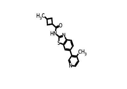 Cc1ccncc1-c1ccc2nc(NC(=O)C3CC(C)C3)sc2c1